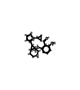 O=Cc1c(O)cccc1OC[C@@]12CCOCC1C2c1ccnn1C1CC1